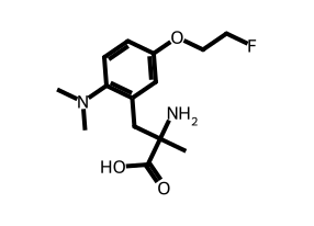 CN(C)c1ccc(OCCF)cc1CC(C)(N)C(=O)O